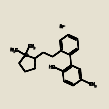 Cc1ccc(O)c(-c2ccccc2CCC2CCC[N+]2(C)C)c1.[Br-]